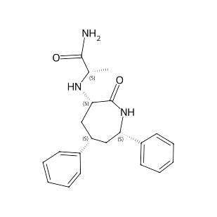 C[C@H](N[C@H]1C[C@@H](c2ccccc2)C[C@@H](c2ccccc2)NC1=O)C(N)=O